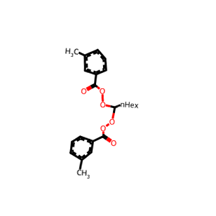 [CH2]CCCCC[C](OOC(=O)c1cccc(C)c1)OOC(=O)c1cccc(C)c1